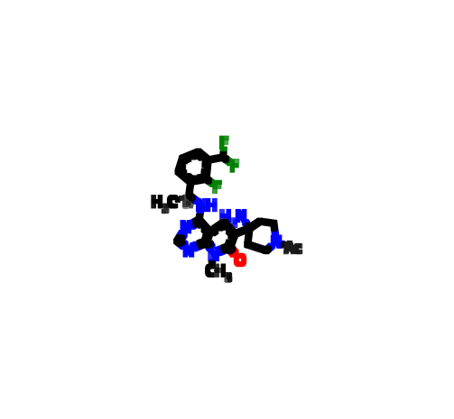 CC(=O)N1CCC(N)(c2cc3c(N[C@H](C)c4cccc(C(F)F)c4F)ncnc3n(C)c2=O)CC1